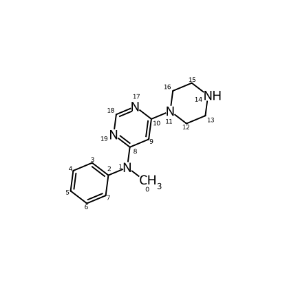 CN(c1ccccc1)c1cc(N2CCNCC2)ncn1